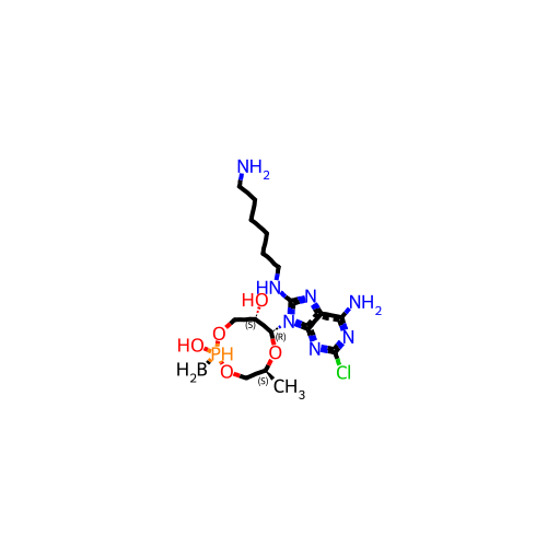 B[PH]1(O)OC[C@H](C)O[C@@H](n2c(NCCCCCCN)nc3c(N)nc(Cl)nc32)[C@@H](O)CO1